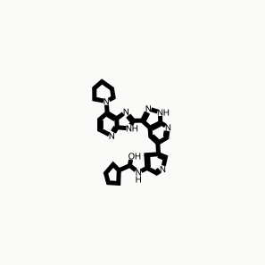 OC(Nc1cncc(-c2cnc3[nH]nc(-c4nc5c(N6CCCCC6)ccnc5[nH]4)c3c2)c1)C1CCCC1